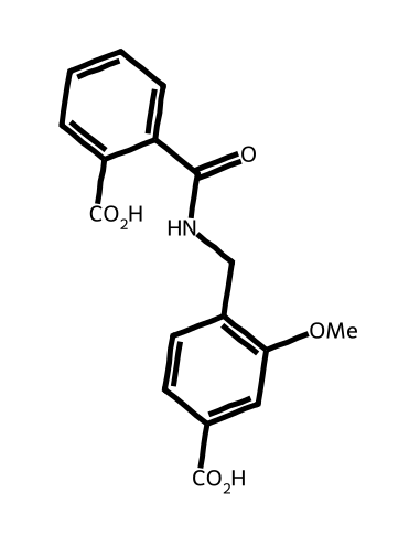 COc1cc(C(=O)O)ccc1CNC(=O)c1ccccc1C(=O)O